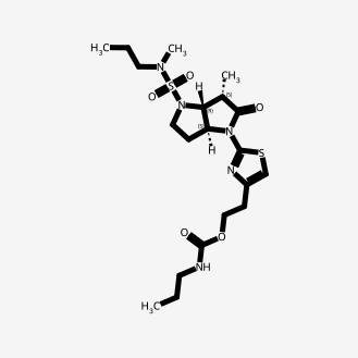 CCCNC(=O)OCCc1csc(N2C(=O)[C@@H](C)[C@@H]3[C@@H]2CCN3S(=O)(=O)N(C)CCC)n1